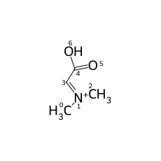 C[N+](C)=CC(=O)O